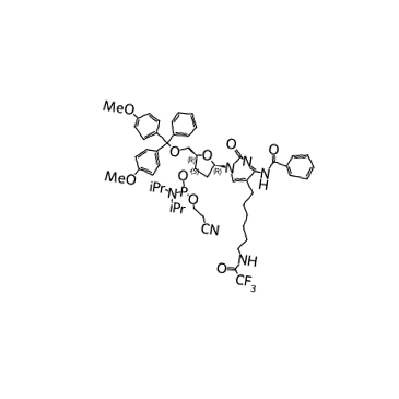 COc1ccc(C(OC[C@H]2O[C@@H](n3cc(CCCCCCNC(=O)C(F)(F)F)c(NC(=O)c4ccccc4)nc3=O)C[C@@H]2OP(OCCC#N)N(C(C)C)C(C)C)(c2ccccc2)c2ccc(OC)cc2)cc1